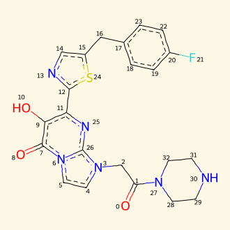 O=C(Cn1ccn2c(=O)c(O)c(-c3ncc(Cc4ccc(F)cc4)s3)nc12)N1CCNCC1